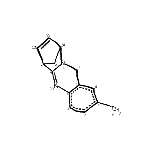 Cc1ccc2c(c1)CN1C(=N2)C2C=CC1C2